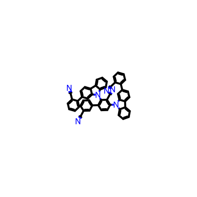 N#Cc1cccc(-c2ccc(-n3c4ccccc4c4ccc(-c5ccccc5C#N)cc43)c(C#N)c2-n2c3ccccc3c3ccc(-c4ccccc4C#N)cc32)c1